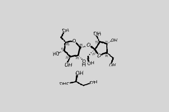 O=CC(O)CO.OC[C@H]1O[C@@](CO)(O[C@H]2O[C@H](CO)[C@@H](O)[C@H](O)[C@H]2O)[C@@H](O)[C@@H]1O